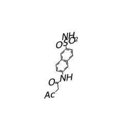 CC(=O)CC(=O)Nc1ccc2cc(S(N)(=O)=O)ccc2c1